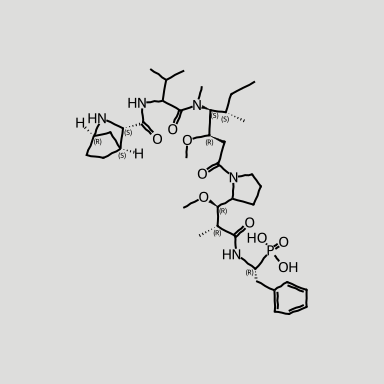 CC[C@H](C)[C@@H]([C@@H](CC(=O)N1CCCC1[C@H](OC)[C@@H](C)C(=O)N[C@@H](Cc1ccccc1)P(=O)(O)O)OC)N(C)C(=O)C(NC(=O)[C@H]1N[C@@H]2CC[C@H]1C2)C(C)C